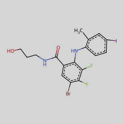 Cc1cc(I)ccc1Nc1c(C(=O)NCCCO)cc(Br)c(F)c1F